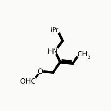 CC=C(COC=O)NCC(C)C